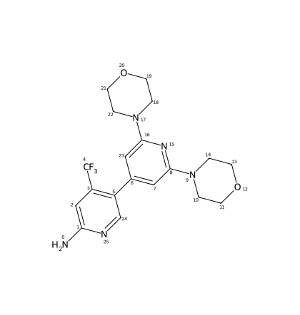 Nc1cc(C(F)(F)F)c(-c2cc(N3CCOCC3)nc(N3CCOCC3)c2)cn1